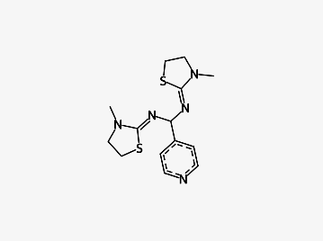 CN1CCS/C1=N\C(/N=C1\SCCN1C)c1ccncc1